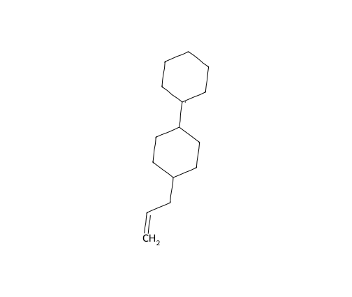 C=CCC1CCC([C]2CCCCC2)CC1